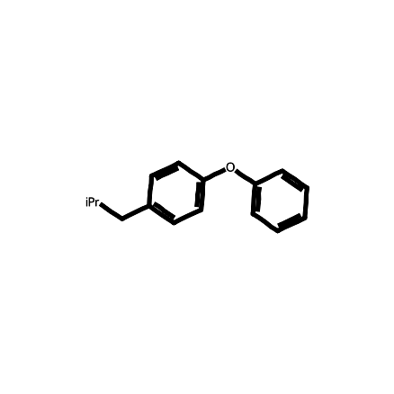 CC(C)Cc1ccc(Oc2ccccc2)cc1